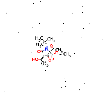 CCOC(=O)[C@@]12C(=O)/C(=C(\C)O)C(=O)N1[C@@H](C(C)(C)C)O[C@@H]2C